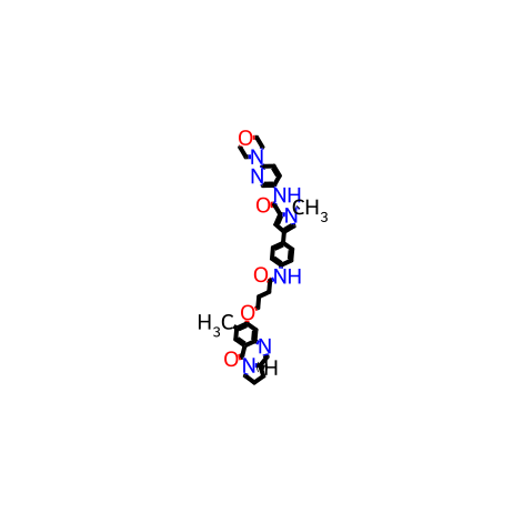 Cc1cc2c(cc1OCCCC(=O)Nc1ccc(-c3cc(C(=O)Nc4ccc(N5CCOCC5)nc4)n(C)c3)cc1)N=C[C@@H]1CCCN1C2=O